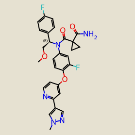 COC[C@@H](c1ccc(F)cc1)N(C(=O)C1(C(N)=O)CC1)c1ccc(Oc2ccnc(-c3cnn(C)c3)c2)c(F)c1